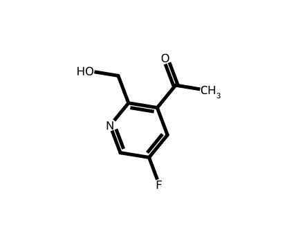 CC(=O)c1cc(F)cnc1CO